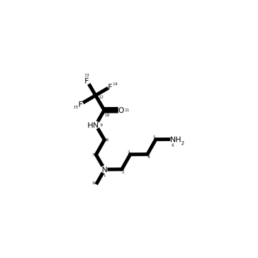 CN(CCCCN)CCNC(=O)C(F)(F)F